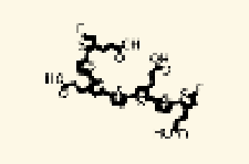 O=C(O)CCc1cc(F)sc1-c1ccc(-c2sc(-c3ccc(-c4cc(CCC(=O)O)c(-c5ccc(-c6sc(F)cc6CCC(=O)O)s5)s4)s3)cc2CCC(=O)O)s1